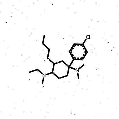 CCCCC1CC(c2ccc(Cl)cc2)(N(C)C)CCC1N(C)CC